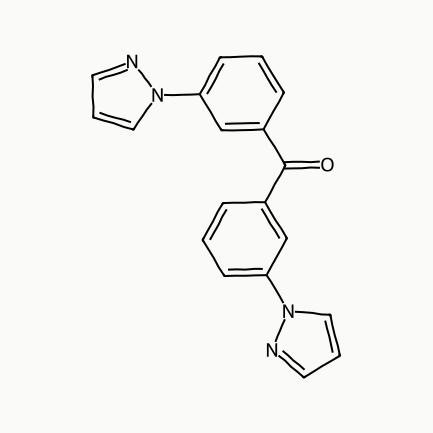 O=C(c1cccc(-n2cccn2)c1)c1cccc(-n2cccn2)c1